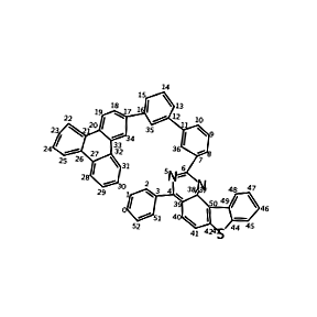 c1ccc(-c2nc(-c3cccc(-c4cccc(-c5ccc6c7ccccc7c7ccccc7c6c5)c4)c3)nc3c2ccc2sc4ccccc4c23)cc1